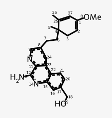 COC1=CCC(C)(CCc2cnc3c(N)nc4cc(CO)ccc4c3c2)C(C)=C1